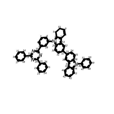 C1=Cc2c(n(-c3cccc(-c4nc(-c5ccccc5)nc(-c5ccccc5)n4)c3)c3ccc(-c4ccc5c(c4)c4ccccc4n5-c4ccccc4)cc23)CC1